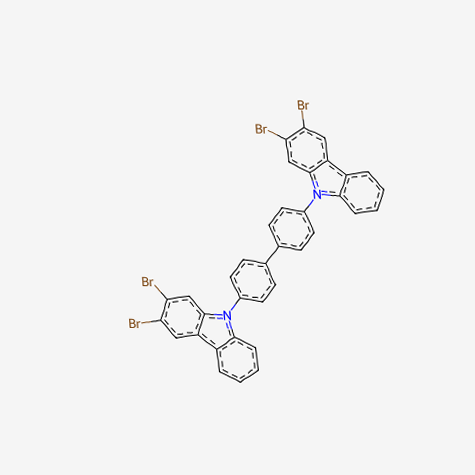 Brc1cc2c3ccccc3n(-c3ccc(-c4ccc(-n5c6ccccc6c6cc(Br)c(Br)cc65)cc4)cc3)c2cc1Br